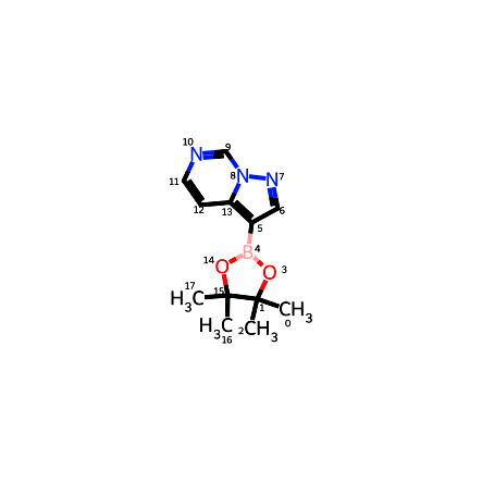 CC1(C)OB(c2cnn3cnccc23)OC1(C)C